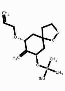 C=CCO[C@@H]1CC2(CCSS2)C[C@@H](O[Si](C)(C)C(C)(C)C)C1=C